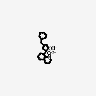 [Cl-].[Cl-].[Cr+2][C]1(c2cccc3cccnc23)C=CC(Cc2ccccc2)=C1